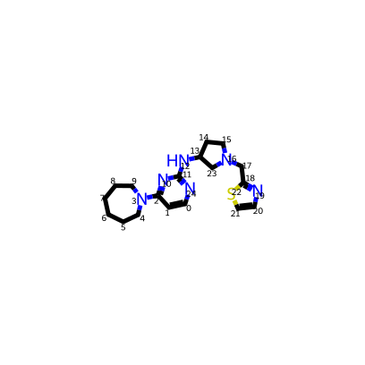 c1cc(N2CCCCCC2)nc(NC2CCN(Cc3nccs3)C2)n1